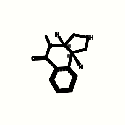 CN1C(=O)c2ccccc2[C@H]2CNC[C@@H]21